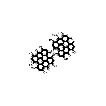 Cc1cc(O)c2c(=O)c3c(O)cc(O)c4c5c(O)cc(O)c6c(=O)c7c(O)cc(C)c8c1c2c(c34)c(c78)c65.Cc1cc(O)c2c(=O)c3c(O)cc(O)c4c5c(O)cc(O)c6c(=O)c7c(O)cc(C)c8c1c2c(c34)c(c78)c65.[LiH]